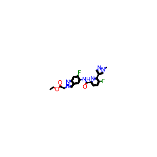 CCOC(=O)Cn1cc2cc(NC(=O)c3ccc(F)c(-c4cnn(C)c4)n3)c(F)cc2n1